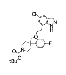 CC(C)(C)OC(=O)N1CCC(COCCc2cc(Cl)cc3cn[nH]c23)(c2ccc(F)cc2)CC1